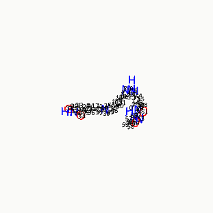 Cc1cc(-c2n[nH]c3ncc(-c4ccc(C5(C)CCN(C6CC(c7ccc(C8CCC(=O)NC8=O)cc7)C6)CC5)cc4)cc23)ccc1[C@@H](C)NC(=O)c1noc(C(C)(C)C)n1